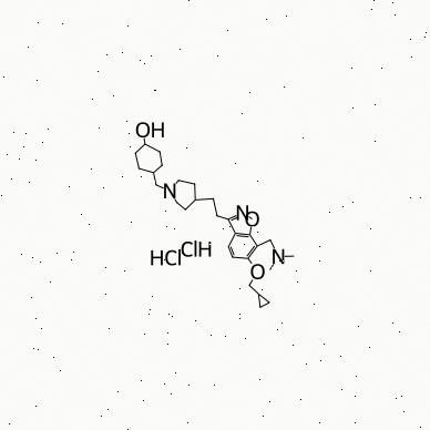 CN(C)Cc1c(OCC2CC2)ccc2c(CCC3CCN(CC4CCC(O)CC4)CC3)noc12.Cl.Cl